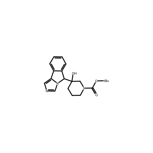 CC(C)(C)OC(=O)N1CCCC(O)(C2c3ccccc3-c3cncn32)C1